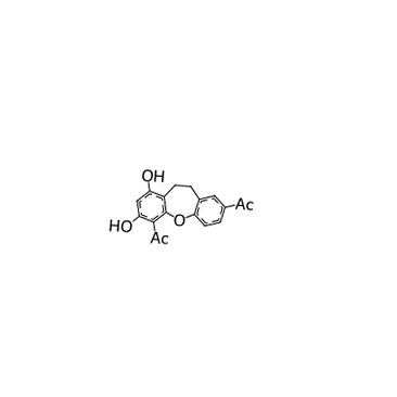 CC(=O)c1ccc2c(c1)CCc1c(O)cc(O)c(C(C)=O)c1O2